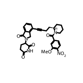 COc1cc(C(=O)N2CCCC[C@@H]2CCC#Cc2cccc3c2CN(C2CCC(=O)NC2=O)C3=O)ccc1[N+](=O)[O-]